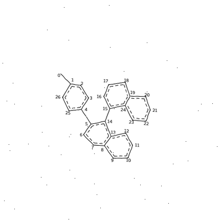 Cc1ccc(-c2ccc3ccccc3c2-c2cccc3ccccc23)cc1